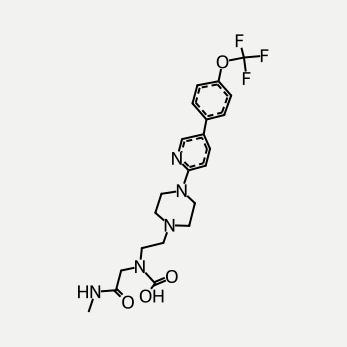 CNC(=O)CN(CCN1CCN(c2ccc(-c3ccc(OC(F)(F)F)cc3)cn2)CC1)C(=O)O